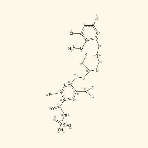 COc1c(Cl)cc(Cl)cc1CN1CCC(COc2cc(F)c(C(=O)NS(C)(=O)=O)cc2C2CC2)CC1